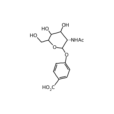 CC(=O)N[C@@H]1C(Oc2ccc(C(=O)O)cc2)OC(CO)C(O)C1O